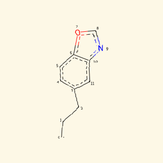 [CH2]CCc1ccc2ocnc2c1